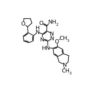 COc1cc2c(cc1Nc1nnc(C(N)=O)c(Nc3ccccc3C3CCCO3)n1)CN(C)CC2